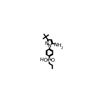 CCCP(=O)(O)c1ccc(-n2nc(C(C)(C)C)cc2N)cc1